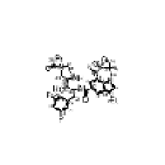 CCc1cn2c3c(cc(C(=O)N[C@@H](Cc4cc(F)cc(F)c4)[C@H](O)[C@H]4CN(C(=O)C(C)C)CCN4)cc13)N(C)S(=O)(=O)C(C)(C)C2